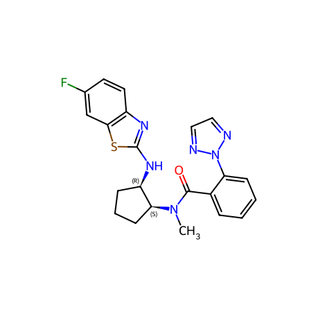 CN(C(=O)c1ccccc1-n1nccn1)[C@H]1CCC[C@H]1Nc1nc2ccc(F)cc2s1